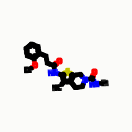 CCNC(=O)N1CCc2c(sc(NC(=O)CCc3ccccc3OCC)c2C#N)C1